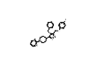 Fc1ccc(OCc2nnc(C3CCN(c4ncccn4)CC3)n2Cc2ccccc2)cc1